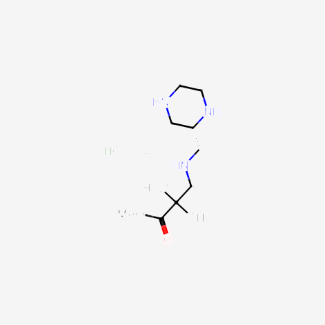 COC(=O)C(C)(C)CNC[C@@H]1CNCCN1.Cl.Cl